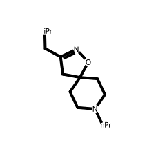 CCCN1CCC2(CC1)CC(CC(C)C)=NO2